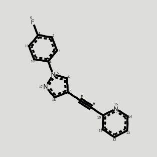 Fc1ccc(-n2cc(C#Cc3ccccn3)cn2)cc1